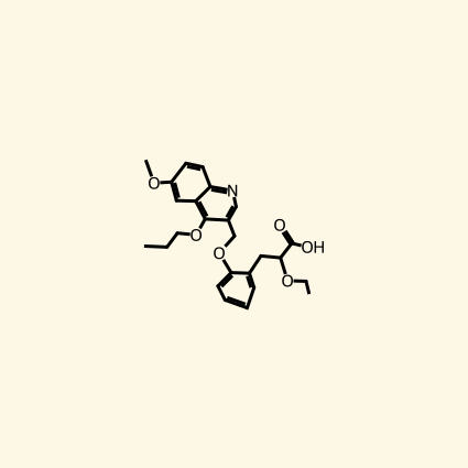 CCCOc1c(COc2ccccc2CC(OCC)C(=O)O)cnc2ccc(OC)cc12